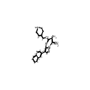 Bc1c(OCC2CCNCC2)nc2c(-c3cnc4ccccc4c3)cnn2c1N